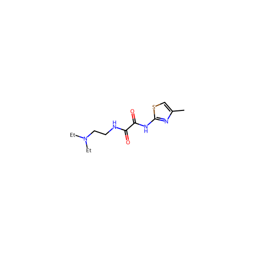 CCN(CC)CCNC(=O)C(=O)Nc1nc(C)cs1